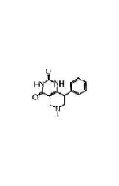 CN1Cc2c([nH]c(=O)[nH]c2=O)C(c2ccccc2)C1